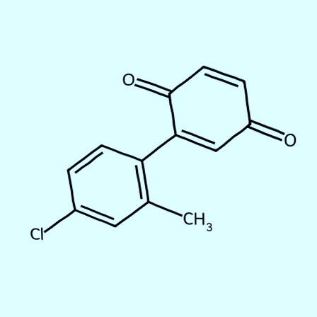 Cc1cc(Cl)ccc1C1=CC(=O)C=CC1=O